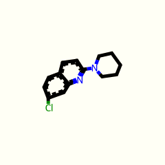 Clc1ccc2ccc(N3CCCCC3)nc2c1